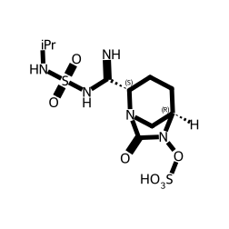 CC(C)NS(=O)(=O)NC(=N)[C@@H]1CC[C@@H]2CN1C(=O)N2OS(=O)(=O)O